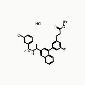 CC(C)OC(=O)CCc1cc(F)cc(-c2cc(C(C)N[C@H](C)c3cccc(Cl)c3)cc3ccccc23)c1.Cl